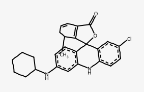 CC1CC=CC2=C1C1(OC2=O)c2ccc(NC3CCCCC3)cc2Nc2ccc(Cl)cc21